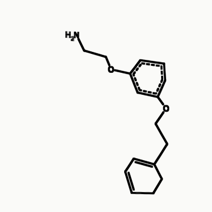 NCCOc1cccc(OCCC2=CC=CCC2)c1